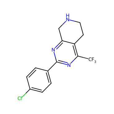 FC(F)(F)c1nc(-c2ccc(Cl)cc2)nc2c1CCNC2